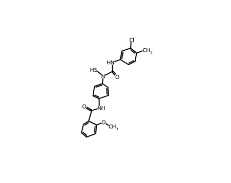 COc1ccccc1C(=O)Nc1ccc(N(S)C(=O)Nc2ccc(C)c(Cl)c2)cc1